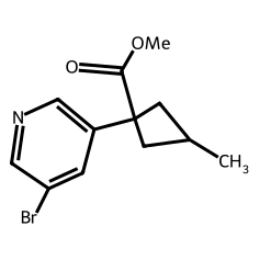 COC(=O)C1(c2cncc(Br)c2)CC(C)C1